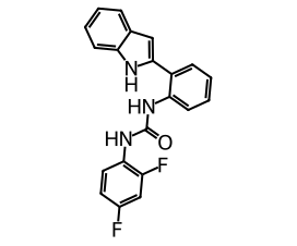 O=C(Nc1ccc(F)cc1F)Nc1ccccc1-c1cc2ccccc2[nH]1